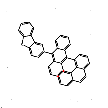 c1ccc2c(c1)ccc1cccc(-c3c4ccccc4c(-c4ccc5oc6ccccc6c5c4)c4ccccc34)c12